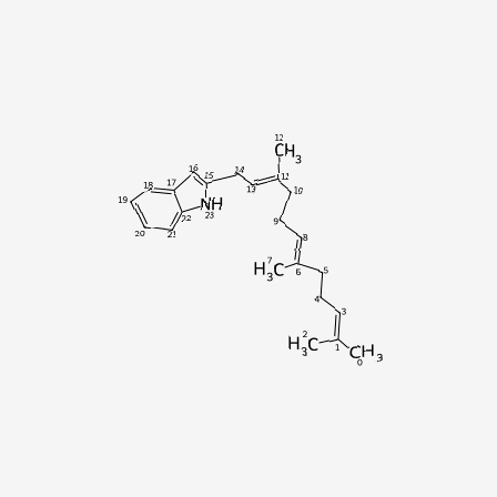 CC(C)=CCC/C(C)=C/CC/C(C)=C/Cc1cc2ccccc2[nH]1